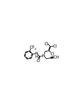 C#CCN(CC(Cl)=C(Cl)Cl)C(=O)Nc1ccccc1C(F)(F)F